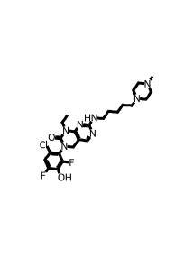 CCN1C(=O)N(c2c(Cl)cc(F)c(O)c2F)Cc2cnc(NCCCCCN3CCN(C)CC3)nc21